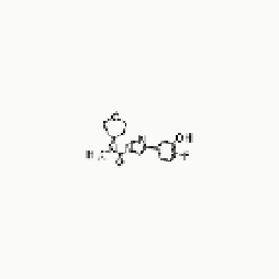 CN(C(=O)n1cnc(-c2ccc(F)c(O)c2)c1)C1CCOCC1